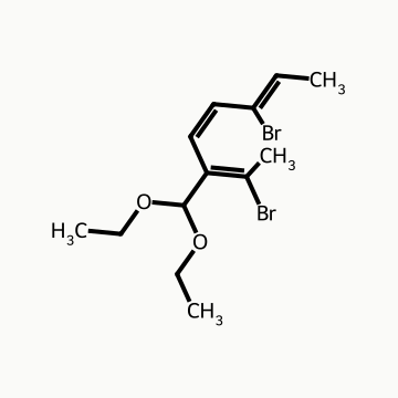 CC=C(Br)/C=C\C(=C(/C)Br)C(OCC)OCC